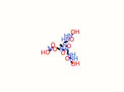 C=C1N(CCNC(=O)NCO)C(=O)N(CCNC(=O)NCO)C(=O)N1CCOC(=O)N(C)CO